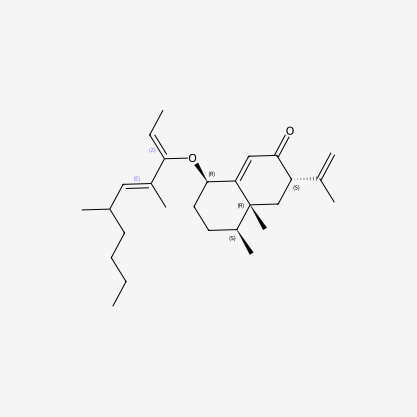 C=C(C)[C@@H]1C[C@@]2(C)C(=CC1=O)[C@H](OC(=C\C)/C(C)=C/C(C)CCCC)CC[C@@H]2C